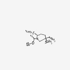 CCOC(=O)[C@H]1CC[C@](N)([SiH3])CN1C(=O)OC(C)(C)C